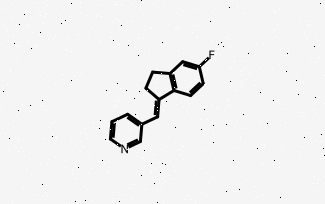 Fc1ccc2c(c1)CCC2=Cc1cccnc1